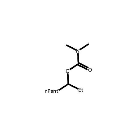 [CH2]CCCCC(CC)OC(=O)N(C)C